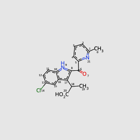 Cc1cccc(C(=O)c2[nH]c3ccc(Cl)cc3c2C(C)C(=O)O)n1